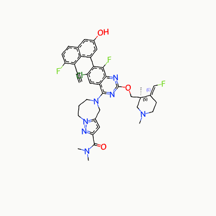 C#Cc1c(F)ccc2cc(O)cc(-c3c(Cl)cc4c(N5CCCn6nc(C(=O)N(C)C)cc6C5)nc(OC[C@]5(C)CN(C)CC/C5=C\F)nc4c3F)c12